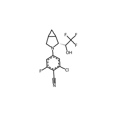 N#Cc1c(F)cc(N2CC3CC3[C@@H]2C(O)C(F)(F)F)cc1Cl